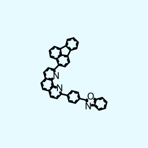 c1ccc2c(c1)-c1cccc3c(-c4ccc5ccc6ccc(-c7ccc(-c8nc9ccccc9o8)cc7)nc6c5n4)ccc-2c13